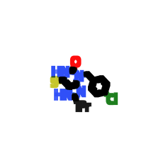 CC(C)c1nc2c([nH]1)c(=S)[nH]c(=O)n2Cc1ccc(Cl)cc1